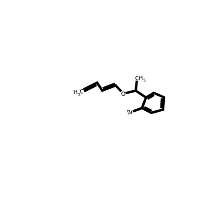 C=CC=COC(C)c1ccccc1Br